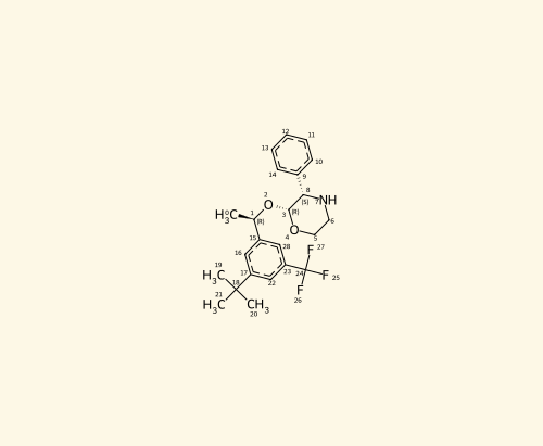 C[C@@H](O[C@H]1OCCN[C@H]1c1ccccc1)c1cc(C(C)(C)C)cc(C(F)(F)F)c1